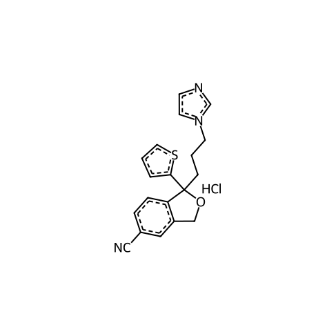 Cl.N#Cc1ccc2c(c1)COC2(CCCn1ccnc1)c1cccs1